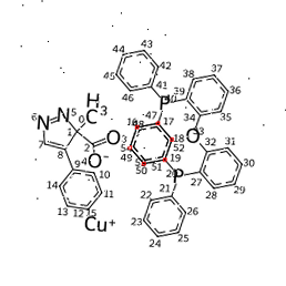 CC1(C(=O)[O-])N=NC=C1c1ccccc1.[Cu+].c1ccc(P(c2ccccc2)c2ccccc2Oc2ccccc2P(c2ccccc2)c2ccccc2)cc1